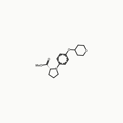 COC(=O)[C@H]1CCCN1c1ccc(OC2CCOCC2)cc1